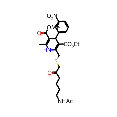 CCOC(=O)C1=C(CSCC(=O)CCCCNC(C)=O)NC(C)=C(C(=O)OC)C1c1cccc([N+](=O)[O-])c1